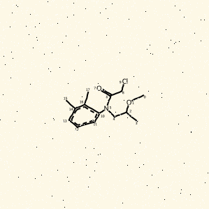 COC(C)CN(C(=O)CCl)c1cccc(C)c1C